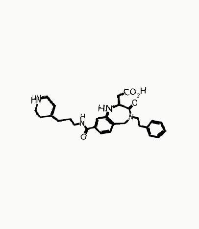 O=C(O)CC1Nc2cc(C(=O)NCCCC3CCNCC3)ccc2CN(CCc2ccccc2)C1=O